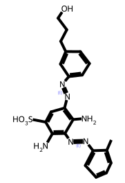 Cc1ccccc1/N=N/c1c(N)c(/N=N/c2cccc(CCCO)c2)cc(S(=O)(=O)O)c1N